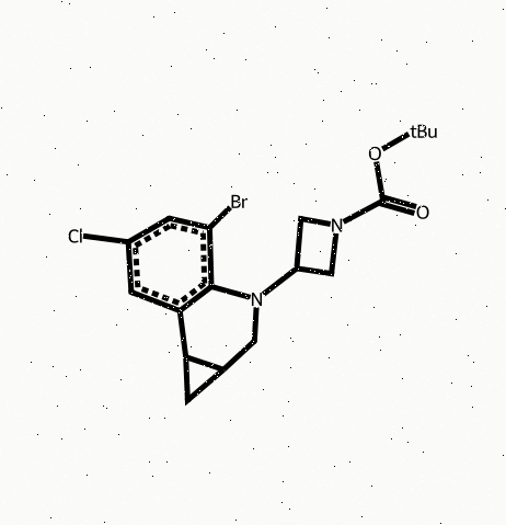 CC(C)(C)OC(=O)N1CC(N2CC3CC3c3cc(Cl)cc(Br)c32)C1